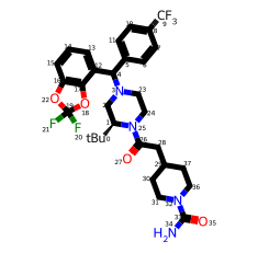 CC(C)(C)[C@H]1CN(C(c2ccc(C(F)(F)F)cc2)c2cccc3c2OC(F)(F)O3)CCN1C(=O)CC1CCN(C(N)=O)CC1